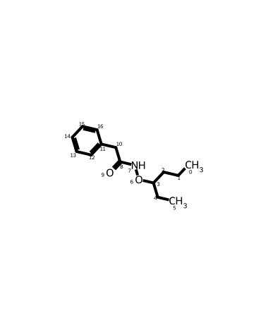 CCCC(CC)ONC(=O)Cc1ccccc1